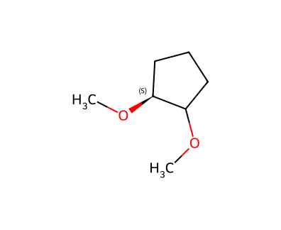 COC1CCC[C@@H]1OC